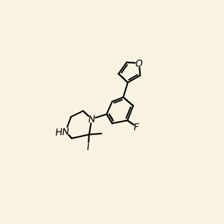 CC1(I)CNCCN1c1cc(F)cc(-c2ccoc2)c1